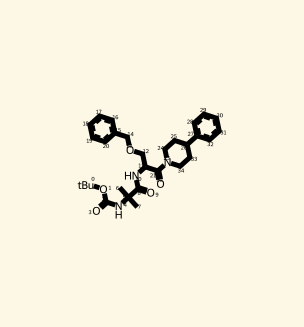 CC(C)(C)OC(=O)NC(C)(C)C(=O)NC(COCc1ccccc1)C(=O)N1CCC(c2ccccc2)CC1